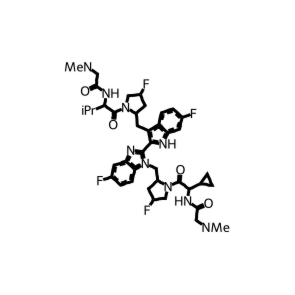 CNCC(=O)NC(C(=O)N1CC(F)CC1Cc1c(-c2nc3cc(F)ccc3n2CC2CC(F)CN2C(=O)C(NC(=O)CNC)C2CC2)[nH]c2cc(F)ccc12)C(C)C